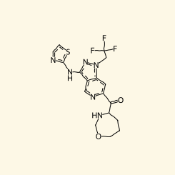 O=C(c1cc2c(cn1)c(Nc1nccs1)nn2CC(F)(F)F)C1CCCOCN1